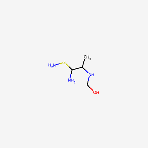 CC(NCO)C(N)SN